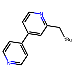 CC(C)(C)Cc1cc(-c2ccncc2)ccn1